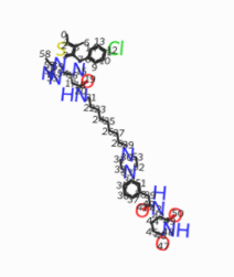 Cc1sc2c(c1C)C(c1ccc(Cl)cc1)=N[C@@H](CC(=O)NCCCCCCCCCN1CCN(c3cccc(CC(=O)NC4CCC(=O)NC4=O)c3)CC1)c1nnc(C)n1-2